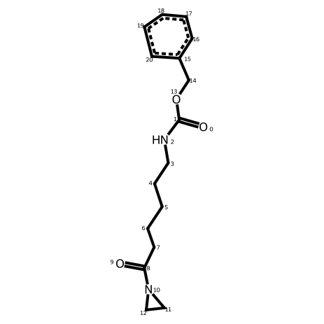 O=C(NCCCCCC(=O)N1CC1)OCc1ccccc1